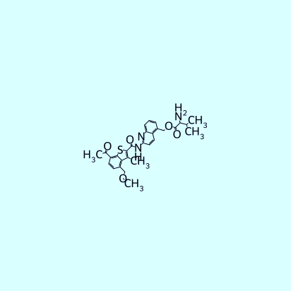 COCc1ccc(C(C)=O)c2sc(C(=O)Nc3ccc4c(COC(=O)C(N)C(C)C)cccc4n3)c(C)c12